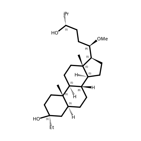 CC[C@]1(O)CC[C@@]2(C)[C@@H](CC[C@@H]3[C@@H]2CC[C@]2(C)[C@@H]([C@@H](CC[C@H](O)C(C)C)OC)CC[C@@H]32)C1